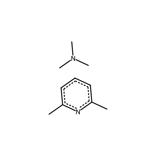 CN(C)C.Cc1cccc(C)n1